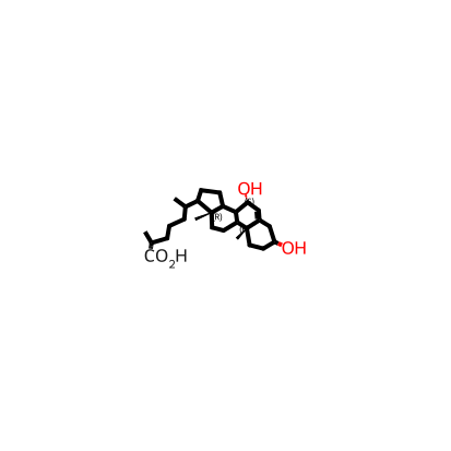 CC(CCCC(C)C1CCC2C3C(CC[C@]12C)[C@@]1(C)CCC(O)CC1=C[C@H]3O)C(=O)O